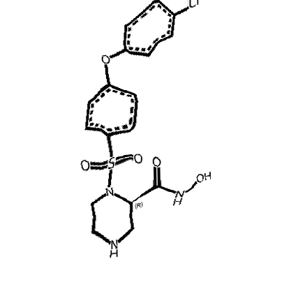 O=C(NO)[C@H]1CNCCN1S(=O)(=O)c1ccc(Oc2ccc(Cl)cc2)cc1